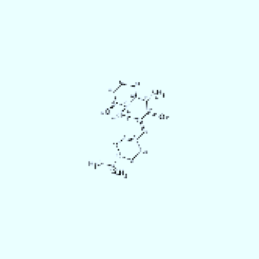 C=C(C)[C@@H]1CC=C(C=C2C[C@@]3(C)C(CCC[C@@H]3O)C(C)C2=O)CC1